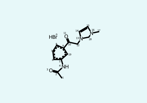 Br.CC(=O)Nc1cccc(C(=O)CN2C=CN(C)C2)c1